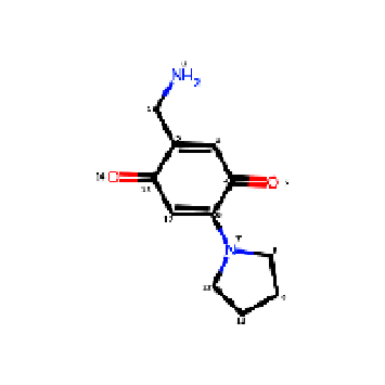 NCC1=CC(=O)C(N2CCCC2)=CC1=O